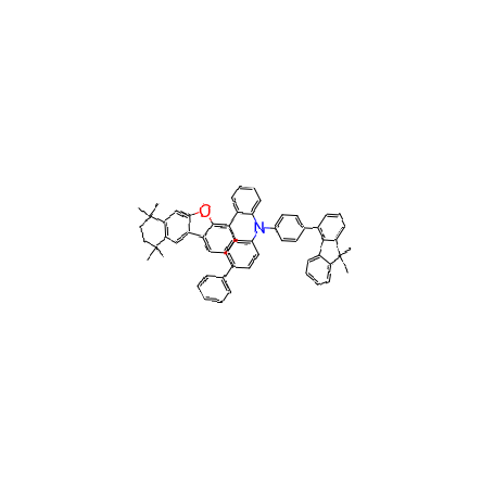 CC1(C)CCC(C)(C)c2cc3c(cc21)oc1c(-c2ccccc2N(c2ccc(-c4ccccc4)cc2)c2ccc(-c4cccc5c4-c4ccccc4C5(C)C)cc2)cccc13